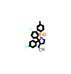 Cc1ccc(S(=O)(=O)N2CCC(CC#N)C2(c2ccc(F)cc2)c2ccc(F)cc2)cc1